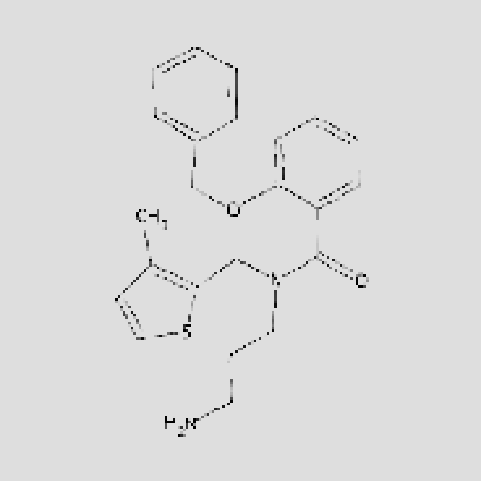 Cc1ccsc1CN(CCCN)C(=O)c1ccccc1OCc1ccccc1